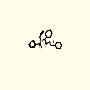 C#CCN(C(=O)c1ccccc1)C(C(=O)NCC1CCCCC1)C1CCCCC1